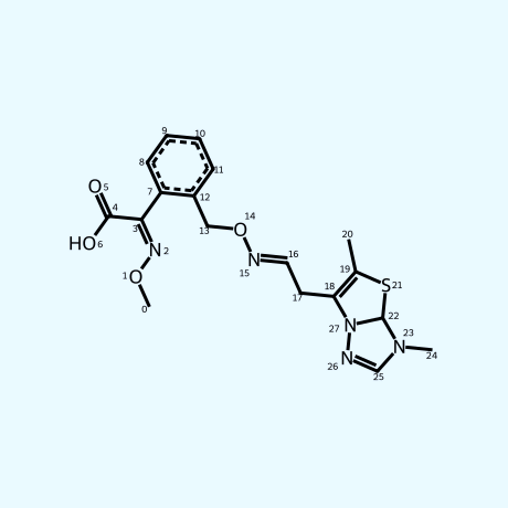 CON=C(C(=O)O)c1ccccc1CON=CCC1=C(C)SC2N(C)C=NN12